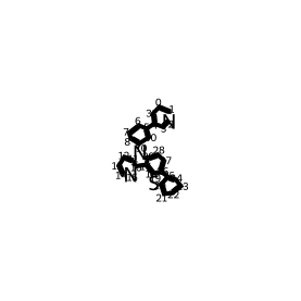 c1cncc(-c2cccc(-n3c4cccnc4c4c5sc6ccccc6c5ccc43)c2)c1